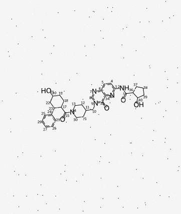 O=C(Nc1ccc2ncn(CC3CCN(C(=O)C4CCC(O)CC4c4ccccc4)CC3)c(=O)c2n1)C1CCCC1O